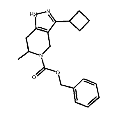 CC1Cc2[nH]nc(C3CCC3)c2CN1C(=O)OCc1ccccc1